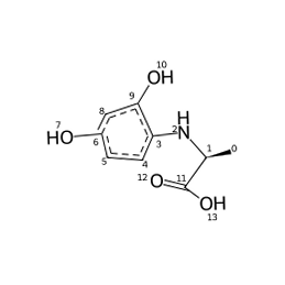 C[C@H](Nc1ccc(O)cc1O)C(=O)O